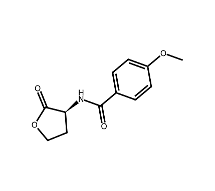 COc1ccc(C(=O)N[C@H]2CCOC2=O)cc1